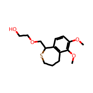 COc1ccc2c(c1OC)CCCSC2COCCO